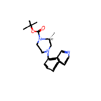 C[C@@H]1CN(c2cccc3ccncc23)CCN1C(=O)OC(C)(C)C